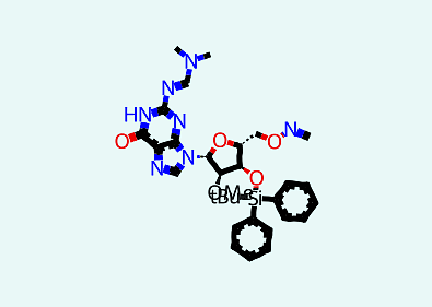 C=NOC[C@H]1O[C@@H](n2cnc3c(=O)[nH]c(N=CN(C)C)nc32)[C@H](OC)[C@@H]1O[Si](c1ccccc1)(c1ccccc1)C(C)(C)C